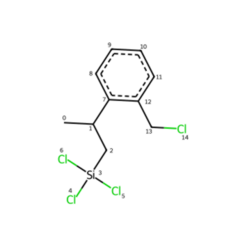 CC(C[Si](Cl)(Cl)Cl)c1ccccc1CCl